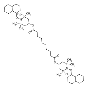 CC1(C)CC(OC(=O)CCCCCCCCC(=O)OC2CC(C)(C)N(OC3CCCC4CCCCC43)C(C)(C)C2)CC(C)(C)N1OC1CCCC2CCCCC21